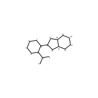 CC(C)C1CCCCC1C1CC2CCCCC2C1